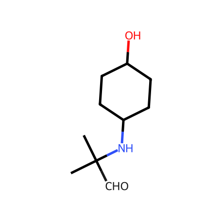 CC(C)(C=O)NC1CCC(O)CC1